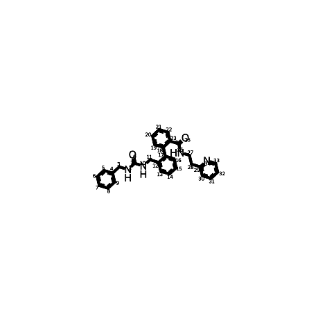 O=C(NCc1ccccc1)NCc1ccccc1-c1ccccc1C(=O)NCCc1ccccn1